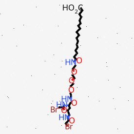 O=C(O)CCCCCCCCCCCCCCCCC(=O)NCCOCCOCCOCCNC(=O)C(CCCNC(=O)CBr)NC(=O)CBr